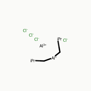 CC(C)[CH2][Al+][CH2]C(C)C.[Al+3].[Cl-].[Cl-].[Cl-].[Cl-]